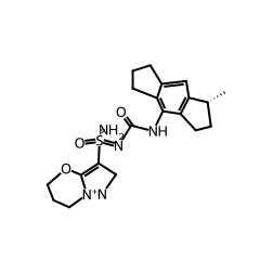 C[C@@H]1CCc2c1cc1c(c2NC(=O)N=[S@](N)(=O)C2=C3OCCC[N+]3=NC2)CCC1